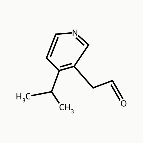 CC(C)c1ccncc1CC=O